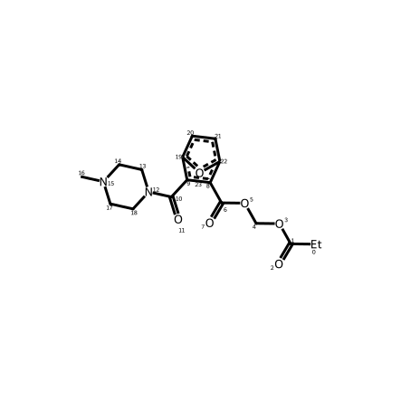 CCC(=O)OCOC(=O)c1c(C(=O)N2CCN(C)CC2)c2ccc1o2